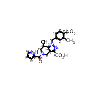 Cc1cc(Cn2nc(C(=O)O)c3c2C(C)CN(C(=O)c2ccc[nH]2)C3)ccc1[N+](=O)[O-]